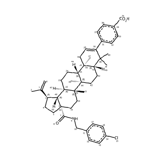 C=C(C)[C@@H]1CC[C@]2(C(=O)NCc3ccc(Cl)cc3)CC[C@]3(C)[C@H](CC[C@@H]4[C@@]5(C)CC=C(c6ccc(C(=O)O)cc6)C(C)(C)[C@@H]5CC[C@]43C)[C@@H]12